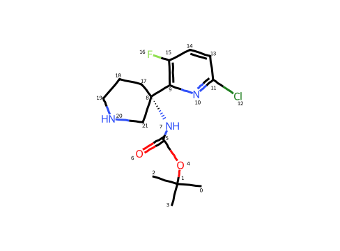 CC(C)(C)OC(=O)N[C@@]1(c2nc(Cl)ccc2F)CCCNC1